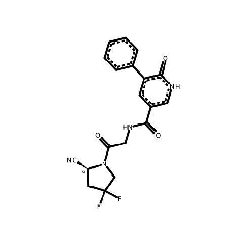 N#C[C@@H]1CC(F)(F)CN1C(=O)CNC(=O)c1c[nH]c(=O)c(-c2ccccc2)c1